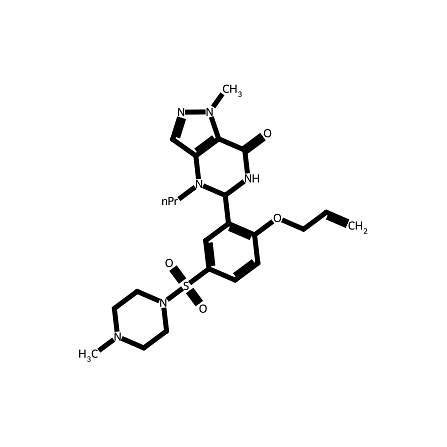 C=CCOc1ccc(S(=O)(=O)N2CCN(C)CC2)cc1C1NC(=O)c2c(cnn2C)N1CCC